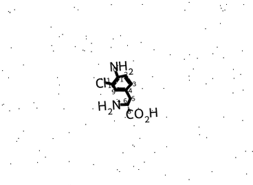 Nc1ccc(C[C@@H](N)C(=O)O)cc1Cl